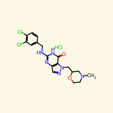 CN1CCOC(Cn2ncc3nc(NCc4ccc(Cl)c(Cl)c4)[nH]c(=O)c32)C1.Cl